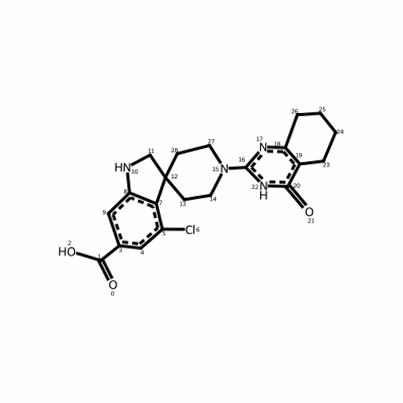 O=C(O)c1cc(Cl)c2c(c1)NCC21CCN(c2nc3c(c(=O)[nH]2)CCCC3)CC1